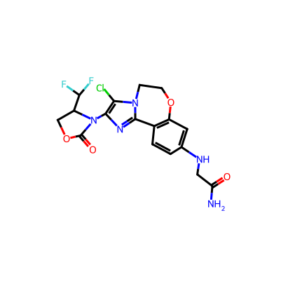 NC(=O)CNc1ccc2c(c1)OCCn1c-2nc(N2C(=O)OCC2C(F)F)c1Cl